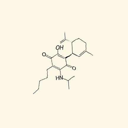 C=C(C)[C@@H]1CCC(C)=C[C@H]1C1=C(O)C(=O)C(CCCCC)=C(NC(C)C)C1=O